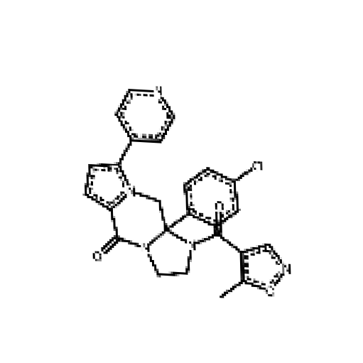 Cc1oncc1C(=O)N1CCN2C(=O)c3ccc(-c4ccncc4)n3CC12c1ccc(Cl)cc1